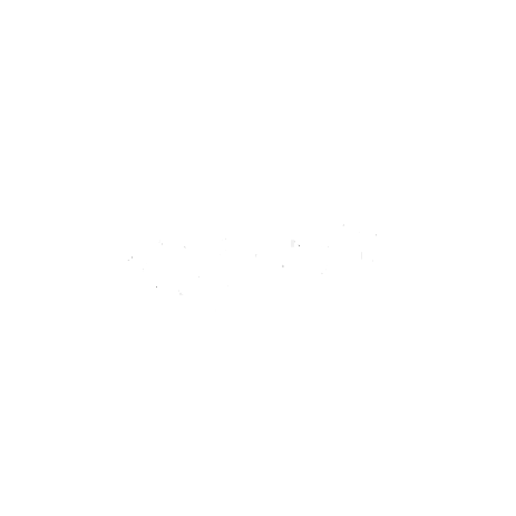 CC(C)(C)OC(=O)NC/C=C(\F)S(=O)(=O)c1ccc(Cl)cc1